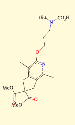 COC(=O)C1(C(=O)OC)Cc2c(C)nc(OCCCN(C(=O)O)C(C)(C)C)c(C)c2C1